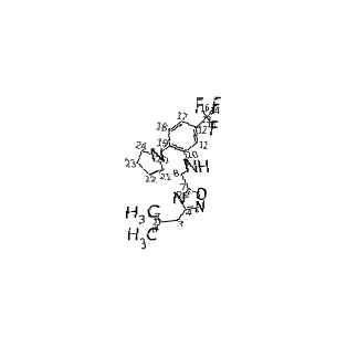 CC(C)Cc1noc(CNc2cc(C(F)(F)F)ccc2N2CCCC2)n1